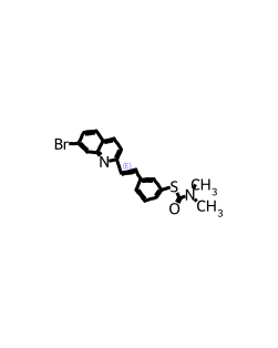 CN(C)C(=O)Sc1cccc(/C=C/c2ccc3ccc(Br)cc3n2)c1